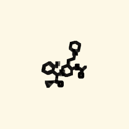 CC(=O)SC1CCN(C(C(=O)C2CC2)c2ccccc2F)C/C1=C/CN1CCCCC1